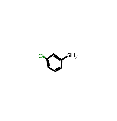 [SiH2]c1cccc(Cl)c1